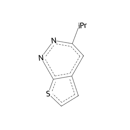 CC(C)c1cc2ccsc2nn1